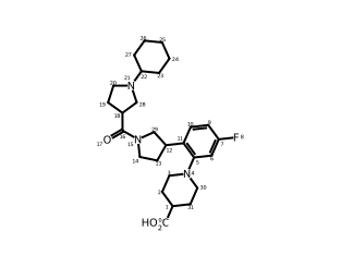 O=C(O)C1CCN(c2cc(F)ccc2C2CCN(C(=O)C3CCN(C4CCCCC4)C3)C2)CC1